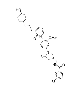 COc1cc(N2C[C@H](CNC(=O)c3ccc(Cl)s3)CC2=O)ccc1-n1cccc(CCC[C@H]2CC[C@H](O)CC2)c1=O